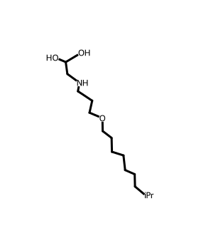 CC(C)CCCCCCCOCCCNCC(O)O